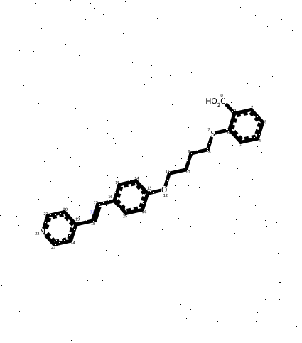 O=C(O)c1ccccc1SCCCCOc1ccc(/C=C/c2ccncc2)cc1